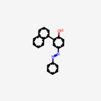 Oc1ccc(N=Nc2ccccc2)cc1-c1cccc2ccccc12